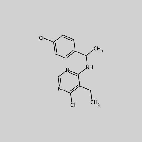 CCc1c(Cl)ncnc1NC(C)c1ccc(Cl)cc1